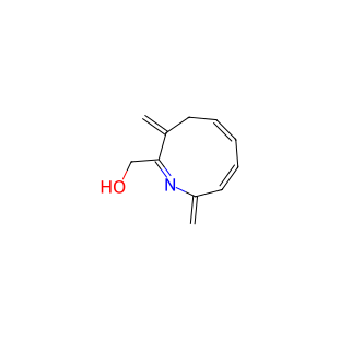 C=C1/C=C\C=C/CC(=C)/C(CO)=N\1